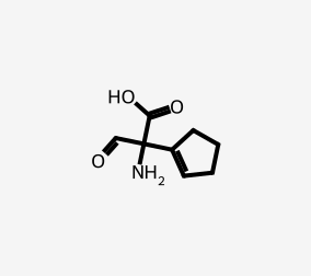 NC(C=O)(C(=O)O)C1=CCCC1